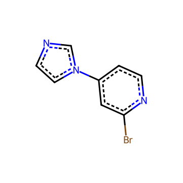 Brc1cc(-n2ccnc2)ccn1